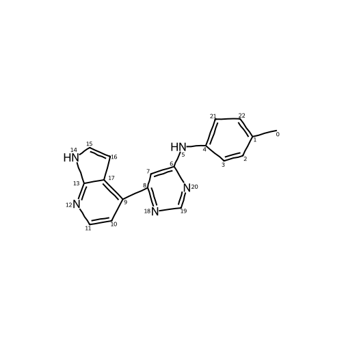 Cc1ccc(Nc2cc(-c3ccnc4[nH]ccc34)ncn2)cc1